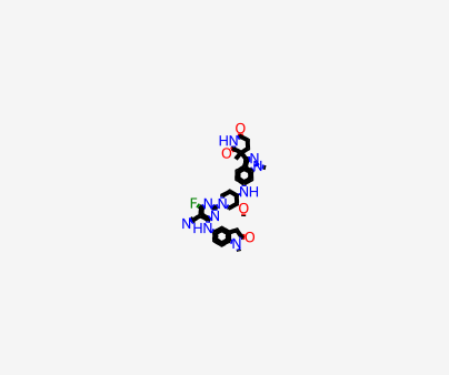 CO[C@@H]1CN(c2nc(F)c(C#N)c(Nc3ccc4c(c3)CC(=O)N4C)n2)CC[C@H]1Nc1ccc2c(C3(C)CCC(=O)NC3=O)nn(C)c2c1